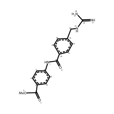 COC(=O)c1ccc(NC(=O)c2ccc(CNC(=N)N)cc2)cc1